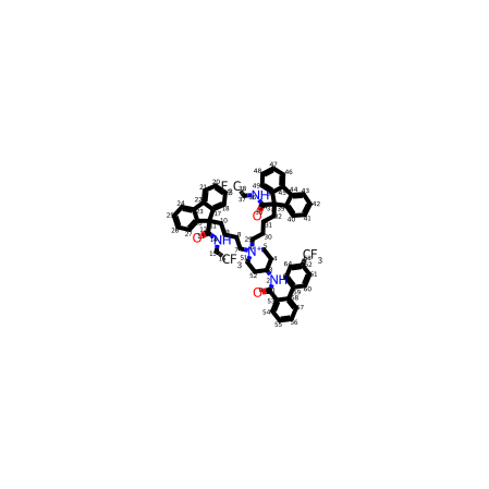 O=C(NC1CC[N+](CCCCC2(C(=O)NCC(F)(F)F)c3ccccc3-c3ccccc32)(CCCCC2(C(=O)NCC(F)(F)F)c3ccccc3-c3ccccc32)CC1)c1ccccc1-c1ccc(C(F)(F)F)cc1